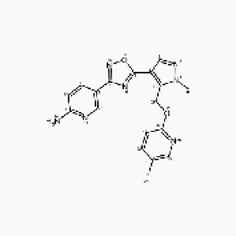 Cn1ncc(-c2nc(-c3ccc(N)nc3)no2)c1COc1ccc(F)cn1